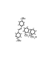 CC(C)(C)c1ccc(C=Cc2ccc(C(C)(C)C)cc2)cc1.O=C(O)c1ccccc1.O=C(O)c1ccccc1